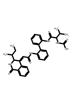 CCC(C)C1NC(=O)c2ccccc2C1=CC(=O)Nc1ccccc1-c1ccccc1NC(=O)C(NC(=O)O)C(C)C